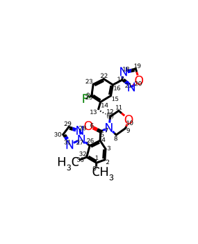 Cc1ccc(C(=O)N2CCOC[C@H]2Cc2cc(-c3ncon3)ccc2F)c(-n2nccn2)c1C